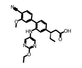 CCOc1ncc(Nc2cc([C@H](CC)CC(=O)O)ccc2-c2ccc(C#N)c(OC)c2)cn1